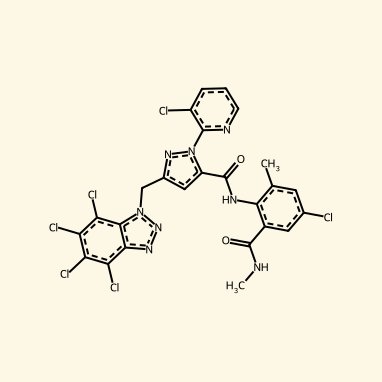 CNC(=O)c1cc(Cl)cc(C)c1NC(=O)c1cc(Cn2nnc3c(Cl)c(Cl)c(Cl)c(Cl)c32)nn1-c1ncccc1Cl